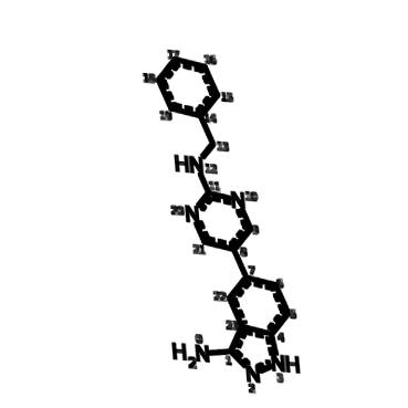 Nc1n[nH]c2ccc(-c3cnc(NCc4ccccc4)nc3)cc12